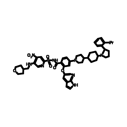 CC(C)c1ccccc1C1CCCN1C1CCC(C2CCN(c3ccc(C(=O)NS(=O)(=O)c4cc([N+](=O)[O-])c(NCC5CCOCC5)cn4)c(Oc4cnc5[nH]ccc5c4)c3)CC2)CC1